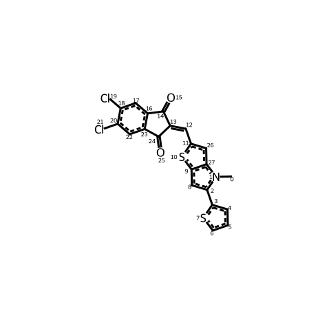 Cn1c(-c2cccs2)cc2sc(C=C3C(=O)c4cc(Cl)c(Cl)cc4C3=O)cc21